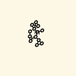 c1ccc(-c2ccc3c4ccccc4n(-c4cc(-c5ccc6c7ccccc7c7ccccc7c6c5)cc(-c5nc(-c6ccccc6)cc(-c6ccc7c(c6)C6(c8ccccc8-c8ccccc86)c6ccccc6-7)n5)c4)c3c2)cc1